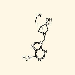 CC(C)C[C@H]1CN(Cn2cnc3c(N)ncnc32)C[C@@H]1O